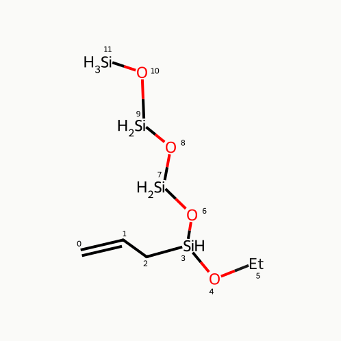 C=CC[SiH](OCC)O[SiH2]O[SiH2]O[SiH3]